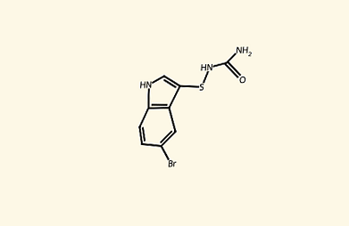 NC(=O)NSc1c[nH]c2ccc(Br)cc12